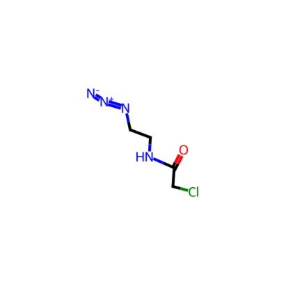 [N-]=[N+]=NCCNC(=O)CCl